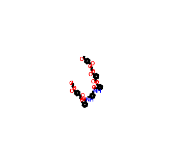 COCCOC(=O)c1ccc(C(=O)COCc2ccccc2C(=O)NCc2cccc(CNC(=O)c3ccccc3COC(=O)c3cccc(C(=O)OCCOC(=O)c4ccc(C(C)=O)cc4)c3)c2)cc1